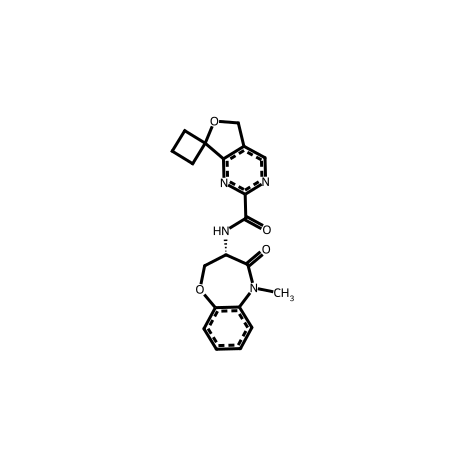 CN1C(=O)[C@@H](NC(=O)c2ncc3c(n2)C2(CCC2)OC3)COc2ccccc21